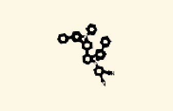 N#Cc1ccc(-n2c3ccc(-c4ccccc4)cc3c3c(-c4ccc5c(c4)c4cc(-c6ccccc6)ccc4n5-c4ccccc4)cccc32)cc1C#N